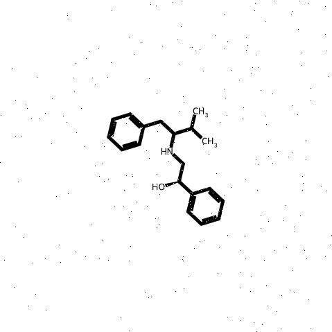 CC(C)C(Cc1ccccc1)NC[C@H](O)c1ccccc1